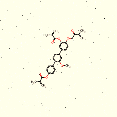 C=C(C)C(=O)COc1ccc(-c2ccc(-c3ccc(OC(=O)C(=C)C)cc3)c(OC)c2)cc1OC(=O)C(=C)C